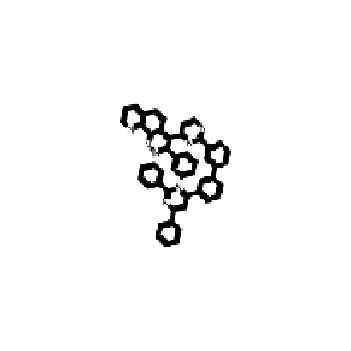 c1ccc(-c2cc(-c3cccc(-c4cccc(-c5nccc(-c6c(-c7ccccc7)nnc7c6ccc6cccnc67)n5)c4)c3)nc(-c3ccccc3)n2)cc1